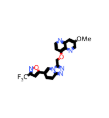 COc1cnc2c(OCc3nnc4ccc(-c5cc(C(F)(F)F)no5)cn34)ccnc2c1